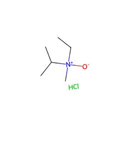 CC[N+](C)([O-])C(C)C.Cl